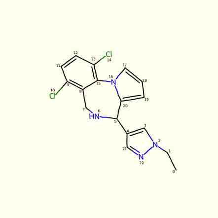 CCn1cc(C2NCc3c(Cl)ccc(Cl)c3-n3cccc32)cn1